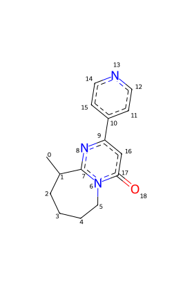 CC1CCCCn2c1nc(-c1ccncc1)cc2=O